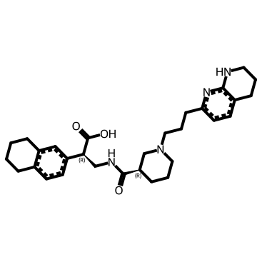 O=C(NC[C@H](C(=O)O)c1ccc2c(c1)CCCC2)[C@@H]1CCCN(CCCc2ccc3c(n2)NCCC3)C1